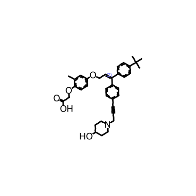 Cc1cc(OC/C=C(\c2ccc(C#CCN3CCC(O)CC3)cc2)c2ccc(C(C)(C)C)cc2)ccc1OCC(=O)O